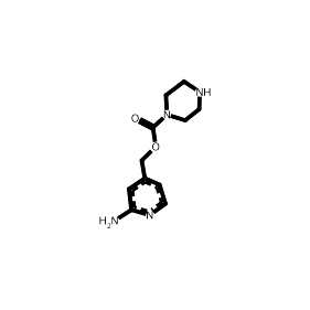 Nc1cc(COC(=O)N2CCNCC2)ccn1